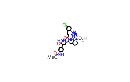 COC(=O)Nc1ccc(-c2cc([C@H](CC3CCCN(C(=O)O)C3)NC(=O)C=Cc3cc(Cl)ccc3-n3cnnn3)n[nH]c2=O)cc1